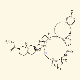 C=CC(=O)N1CCN2CCN(C[C@]3(OC)/C=C/C[C@H](C)[C@@H](C)S(=O)(=O)NC(=O)c4ccc5c(c4)N(CCCCc4cc(Cl)ccc4CO5)C[C@@H]4CC[C@H]43)C[C@H]2C1